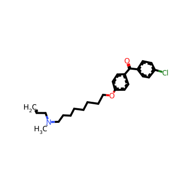 C=CCN(C)CCCCCCCCOc1ccc(C(=O)c2ccc(Cl)cc2)cc1